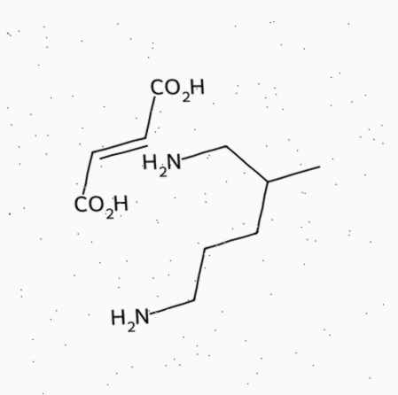 CC(CN)CCCN.O=C(O)C=CC(=O)O